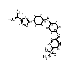 C=C(C)c1noc(N2CCC(OC3CCC(Oc4cnc(S(C)(=O)=O)cn4)CC3)CC2)n1